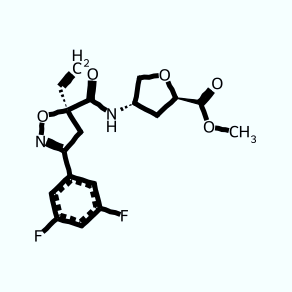 C=C[C@]1(C(=O)N[C@@H]2CO[C@@H](C(=O)OC)C2)CC(c2cc(F)cc(F)c2)=NO1